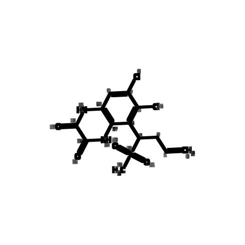 C=CCC(c1c(Cl)c(Cl)cc2[nH]c(=O)c(=O)[nH]c12)S(C)(=O)=O